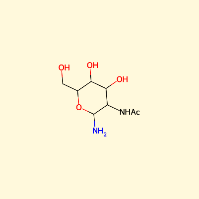 CC(=O)NC1C(N)OC(CO)C(O)C1O